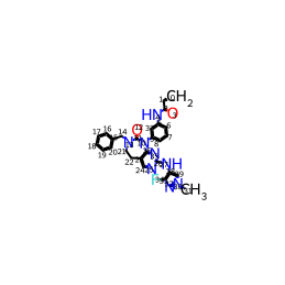 C=CC(=O)Nc1cccc(N2C(=O)N(Cc3ccccc3)CCc3cnc(Nc4cn(C)nc4F)nc32)c1